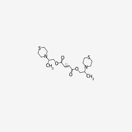 CC(COC(=O)/C=C/C(=O)OCC(C)N1CCSCC1)N1CCSCC1